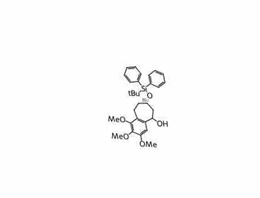 COc1cc2c(c(OC)c1OC)CC[C@H](O[Si](c1ccccc1)(c1ccccc1)C(C)(C)C)CC2O